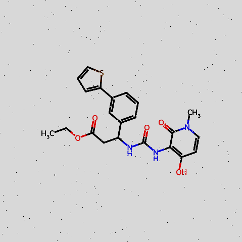 CCOC(=O)CC(NC(=O)Nc1c(O)ccn(C)c1=O)c1cccc(-c2cccs2)c1